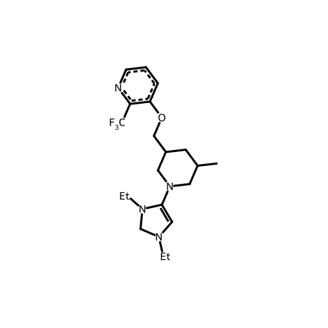 CCN1C=C(N2CC(C)CC(COc3cccnc3C(F)(F)F)C2)N(CC)C1